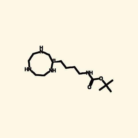 CC(C)(C)OC(=O)NCCCC[C@@H]1CNCCNCCN1